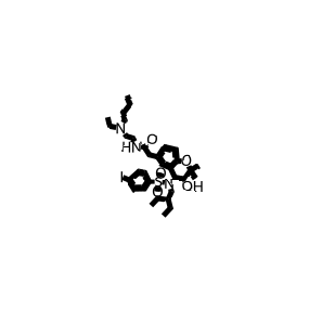 CCCCN(CC)CCNC(=O)Cc1ccc2c(c1)[C@@H](N(CC(CC)CC)S(=O)(=O)c1ccc(I)cc1)[C@H](O)C(C)(C)O2